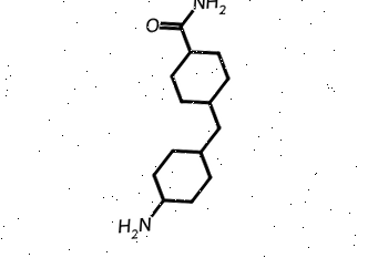 NC(=O)C1CCC(CC2CCC(N)CC2)CC1